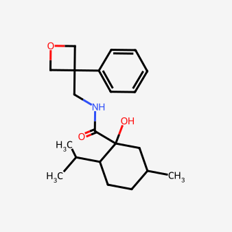 CC1CCC(C(C)C)C(O)(C(=O)NCC2(c3ccccc3)COC2)C1